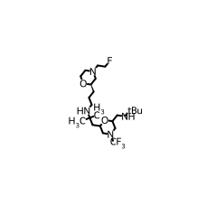 CC(C)(C)NCC1CN(C(F)(F)F)CC(CC(C)(C)NCCC[C@@H]2CN(CCF)CCO2)O1